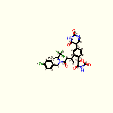 C[C@H](N(Cc1ccc(F)cc1)C(=O)CC1C[C@@]2(OC(=O)NC2=O)c2ccc(C3C=NC(=O)NC3=O)cc21)C(F)(F)F